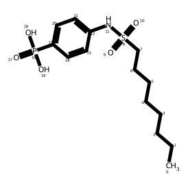 CCCCCCCCS(=O)(=O)Nc1ccc(P(=O)(O)O)cc1